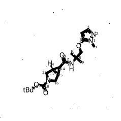 Cn1nccc1OCC(C)(C)NC(=O)C1C2CN(C(=O)OC(C)(C)C)C[C@@H]21